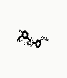 COc1cccc(-c2n[nH]c(-c3ccc(F)c(CN)c3)n2)c1